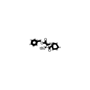 CC(C)(C)OC(=O)C1(NCC(=O)OCc2ccccc2)CCCCC1